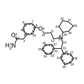 NC(=O)Cc1cccc(OCCCN(CC(c2ccccc2)c2ccccc2)C2CCCCC2)c1